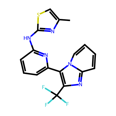 Cc1csc(Nc2cccc(-c3c(C(F)(F)F)nc4ccccn34)n2)n1